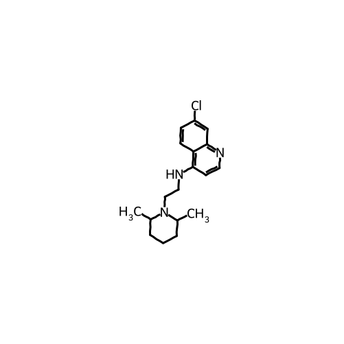 CC1CCCC(C)N1CCNc1ccnc2cc(Cl)ccc12